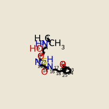 CC(C)NCC(O)COc1ncc(C(=O)NCCCC2C(=O)C3CCC2C3)s1